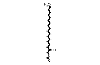 CCCCCCCCCCCCCCCCCC(O)COC=O